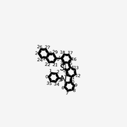 c1ccc(-n2c3ccccc3c3ccc4c5cccc(-c6ccc7ccccc7c6)c5sc4c32)cc1